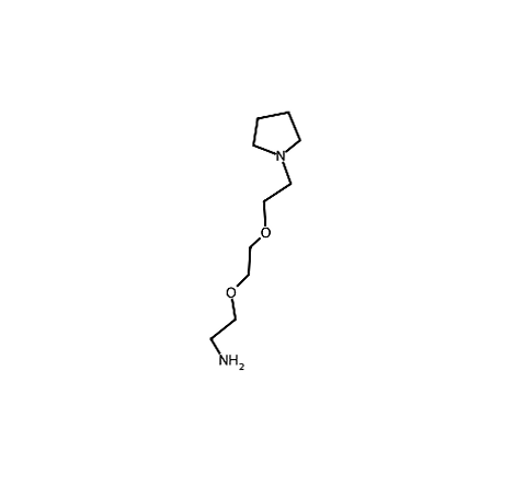 NCCOCCOCCN1CCCC1